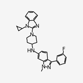 Cn1nc(-c2cccc(F)c2)c2ccc(NC3CCN(c4nc5ccccc5n4C4CC4)CC3)cc21